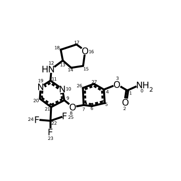 NC(=O)Oc1ccc(Oc2nc(NC3CCOCC3)ncc2C(F)(F)F)cc1